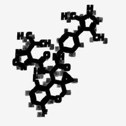 Cc1n[nH]c(C)c1-c1ccc(NC(=O)[C@@H](NC(=O)c2nonc2C(C)C)C2c3c(F)ccc(F)c3OCC23CC3)cc1